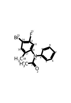 CC(=O)N(c1ccccc1)c1cc(F)c(Br)cc1C